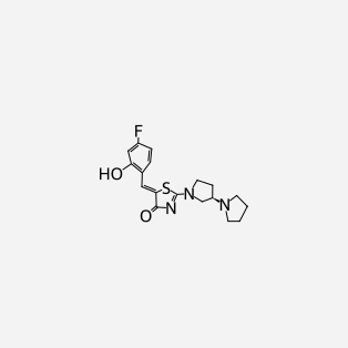 O=C1N=C(N2CC[C@@H](N3CCCC3)C2)S/C1=C\c1ccc(F)cc1O